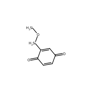 O=C1C=CC(=O)C([SiH2]O[SiH3])=C1